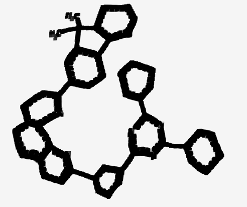 CC1(C)c2ccccc2-c2ccc(-c3ccc4ccc5ccc(-c6cccc(-c7nc(-c8ccccc8)nc(-c8ccccc8)n7)c6)nc5c4n3)cc21